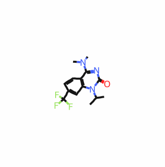 CC(C)n1c(=O)nc(N(C)C)c2ccc(C(F)(F)F)cc21